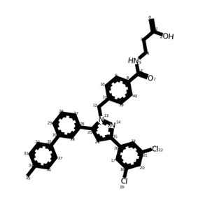 C=C(O)CCNC(=O)c1ccc(Cn2nc(-c3cc(Cl)cc(Cl)c3)cc2-c2cccc(-c3ccc(C)cc3)c2)cc1